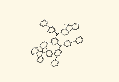 CC1(C)c2ccccc2-c2ccc(N(c3ccc(-c4ccccc4)cc3)c3cc(-c4cccc5c4-c4ccccc4C54c5ccccc5-c5ccccc54)cc(N(c4ccc(-c5ccccc5)cc4)c4ccc(-c5ccccc5)cc4)c3)cc21